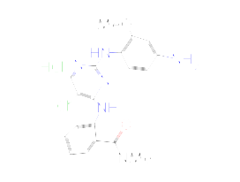 CNC(=O)c1ccccc1Nc1nc(Nc2ccc(N)cc2OC)ncc1Cl.Cl